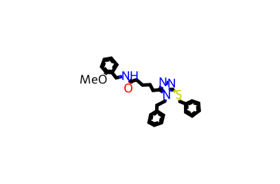 COc1ccccc1CNC(=O)CCCCc1nnc(SCc2ccccc2)n1CCc1ccccc1